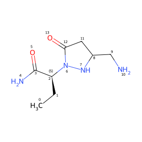 CC[C@@H](C(N)=O)N1NC(CN)CC1=O